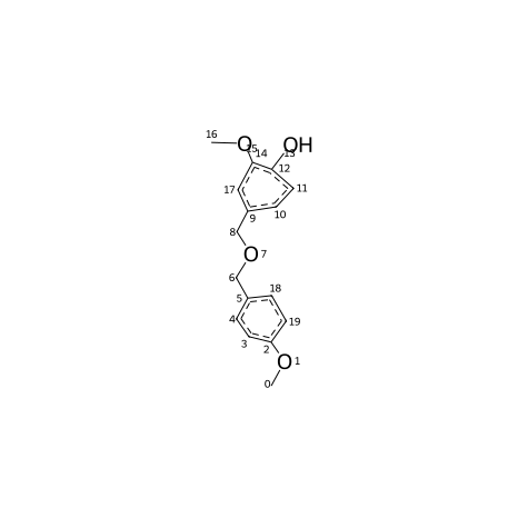 COc1ccc(COCc2ccc(O)c(OC)c2)cc1